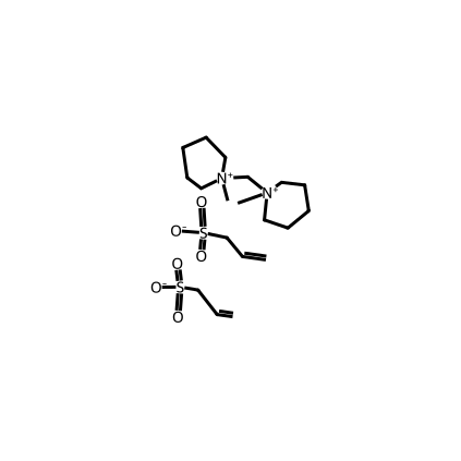 C=CCS(=O)(=O)[O-].C=CCS(=O)(=O)[O-].C[N+]1(C[N+]2(C)CCCCC2)CCCCC1